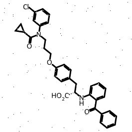 O=C(c1ccccc1)c1ccccc1N[C@@H](Cc1ccc(OCCCN(C(=O)C2CC2)c2cccc(Cl)c2)cc1)C(=O)O